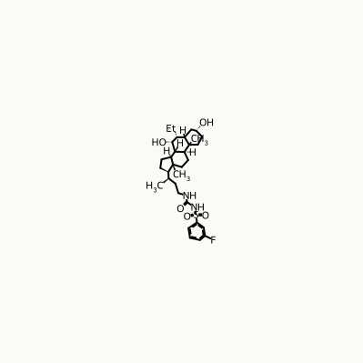 CC[C@H]1[C@@H](O)[C@@H]2[C@H](CC[C@]3(C)[C@@H]([C@H](C)CCNC(=O)NS(=O)(=O)c4cccc(F)c4)CC[C@@H]23)[C@@]2(C)CC[C@@H](O)C[C@@H]12